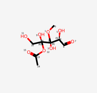 CO[C@](O)([C@@H](O)C=O)[C@@](O)(CO)OC(C)=O